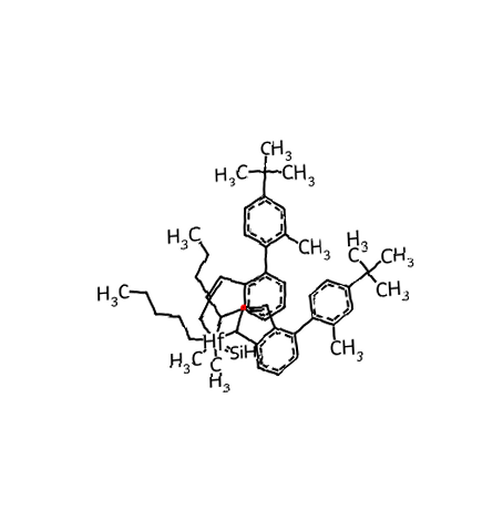 CCCC[CH2][Hf]([CH3])([CH3])(=[SiH2])([CH2]CCCC)([CH]1C=Cc2c(-c3ccc(C(C)(C)C)cc3C)cccc21)[CH]1C=Cc2c(-c3ccc(C(C)(C)C)cc3C)cccc21